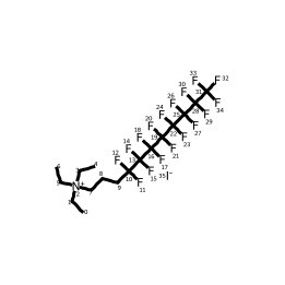 CC[N+](CC)(CC)CCCC(F)(F)C(F)(F)C(F)(F)C(F)(F)C(F)(F)C(F)(F)C(F)(F)C(F)(F)F.[I-]